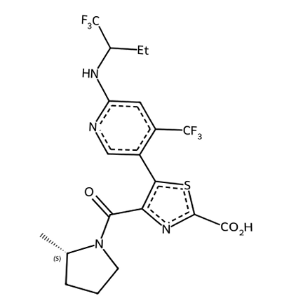 CCC(Nc1cc(C(F)(F)F)c(-c2sc(C(=O)O)nc2C(=O)N2CCC[C@@H]2C)cn1)C(F)(F)F